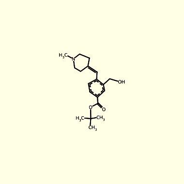 CN1CCC(=Cc2ccc(C(=O)OC(C)(C)C)cc2CO)CC1